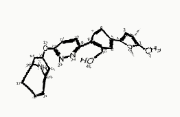 Cc1ccc(-c2ccc(-c3ccc(OC4CC5CCCC(C4)N5)nn3)c(O)c2)o1